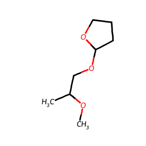 COC(C)COC1CCCO1